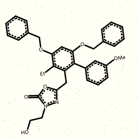 CCc1c(OCc2ccccc2)cc(OCc2ccccc2)c(-c2cccc(OC)c2)c1Cc1nn(CCO)c(=O)o1